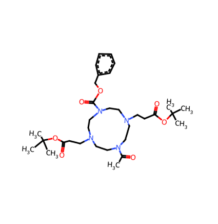 CC(=O)N1CCN(CCC(=O)OC(C)(C)C)CCN(C(=O)OCc2ccccc2)CCN(CCC(=O)OC(C)(C)C)CC1